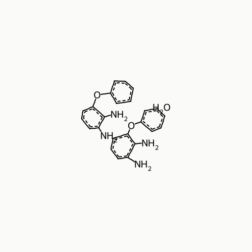 Nc1cccc(Oc2ccccc2)c1N.Nc1cccc(Oc2ccccc2)c1N.O